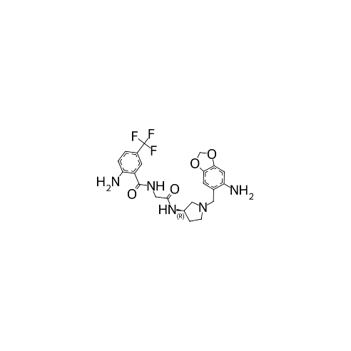 Nc1cc2c(cc1CN1CC[C@@H](NC(=O)CNC(=O)c3cc(C(F)(F)F)ccc3N)C1)OCO2